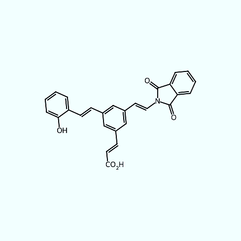 O=C(O)/C=C/c1cc(/C=C/c2ccccc2O)cc(/C=C/N2C(=O)c3ccccc3C2=O)c1